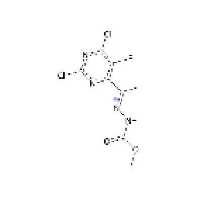 COC(=O)N/N=C(\C)c1nc(Cl)nc(Cl)c1F